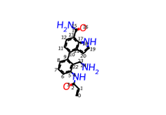 C=CC(=O)Nc1cccc(-c2ccc(C(N)=O)c3[nH]ccc23)c1CN